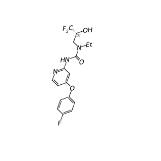 CCN(C[C@@H](O)C(F)(F)F)C(=O)Nc1cc(Oc2ccc(F)cc2)ccn1